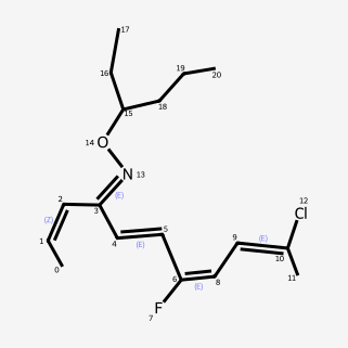 C\C=C/C(/C=C/C(F)=C\C=C(/C)Cl)=N\OC(CC)CCC